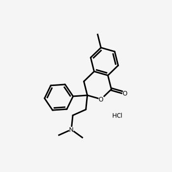 Cc1ccc2c(c1)CC(CCN(C)C)(c1ccccc1)OC2=O.Cl